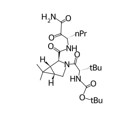 CCC[C@H](NC(=O)[C@@H]1[C@@H]2[C@H](CN1C(=O)[C@@H](NC(=O)OC(C)(C)C)C(C)(C)C)C2(C)C)C(=O)C(N)=O